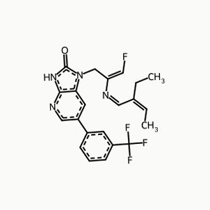 C\C=C(/C=N\C(=C\F)Cn1c(=O)[nH]c2ncc(-c3cccc(C(F)(F)F)c3)cc21)CC